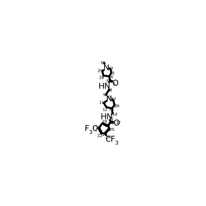 CN1CCC(C(=O)NCCN2CCC(CNC(=O)c3cc(C(F)(F)F)cc(C(F)(F)F)c3)CC2)CC1